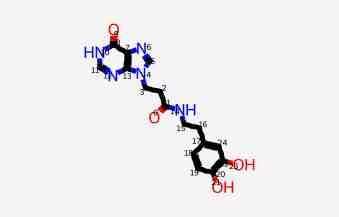 O=C(CCn1cnc2c(=O)[nH]cnc21)NCCc1ccc(O)c(O)c1